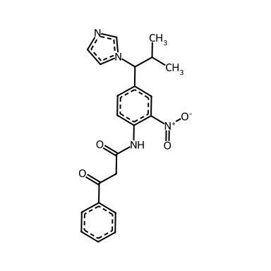 CC(C)C(c1ccc(NC(=O)CC(=O)c2ccccc2)c([N+](=O)[O-])c1)n1ccnc1